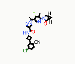 Cc1c(N2C[C@H]3C[C@H]3C2=O)ncc([C@H](C)n2cc(C(=O)NC3CC(c4cc(Cl)ccc4C#N)C3)cn2)c1F